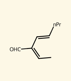 CC=C(C=O)C=CCCC